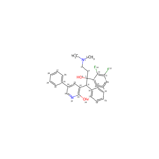 CN(C)CCC(O)(C1=C=C=CC(F)=C1F)C(c1ccccc1)c1cc(-c2ccccc2)cnc1O